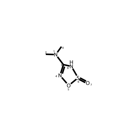 CN(C)C1=NOS(=O)N1